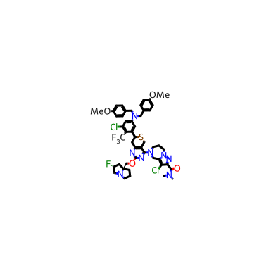 COc1ccc(CN(Cc2ccc(OC)cc2)c2cc(Cl)c(C(F)(F)F)c(C3Cc4nc(OC[C@@]56CCCN5C[C@H](F)C6)nc(N5CCCn6nc(C(=O)N(C)C)c(Cl)c6C5)c4CS3)c2)cc1